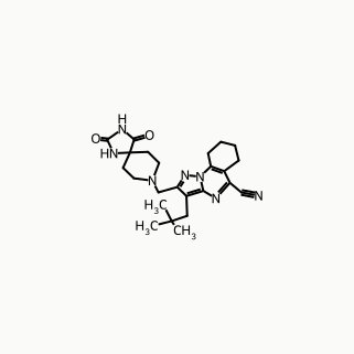 CC(C)(C)Cc1c(CN2CCC3(CC2)NC(=O)NC3=O)nn2c3c(c(C#N)nc12)CCCC3